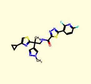 Cn1cc(C(C)(CNC(=O)c2nnc(-c3ccc(F)nc3F)s2)c2nc(C3CC3)cs2)cn1